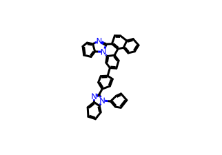 c1ccc(-n2c(-c3ccc(-c4ccc5c6c7ccccc7ccc6c6nc7ccccc7n6c5c4)cc3)nc3ccccc32)cc1